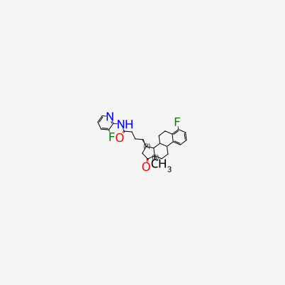 C[C@]12CCC3c4cccc(F)c4CCC3C1[C@H](CCCC(=O)Nc1ncccc1F)CC2=O